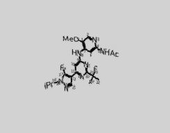 COc1cnc(NC(C)=O)cc1Nc1cc(-c2cnn(C(C)C)c2F)nc(C(C)(F)F)n1